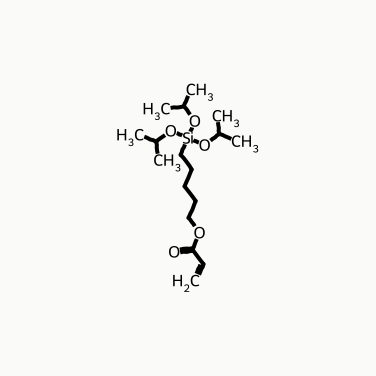 C=CC(=O)OCCCCC[Si](OC(C)C)(OC(C)C)OC(C)C